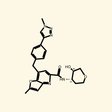 Cc1cc2nc(C(=O)N[C@H]3CCOC[C@@H]3O)cc(Cc3ccc(-c4cn(C)nn4)cc3)c2o1